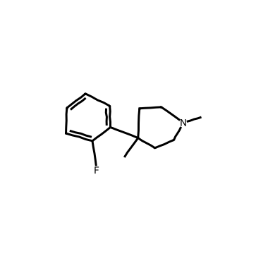 CN1CCC(C)(c2ccccc2F)CC1